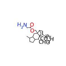 CC(C)C1=CC2CC3(C=O)C4CCC(C)C4CC2(COC(=O)CN)C13C(=O)O